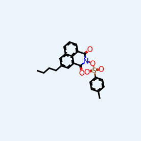 CCCCc1cc2c3c(cccc3c1)C(=O)N(OS(=O)(=O)c1ccc(C)cc1)C2=O